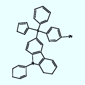 CC(C)c1ccc(S(C2=CCC=C2)(c2ccccc2)c2ccc3c(c2)c2c(n3C3=CCCC=C3)CCC=C2)cc1